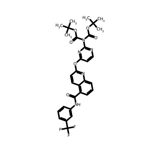 CC(C)(C)OC(=O)N(C(=O)OC(C)(C)C)c1nccc(Oc2ccc3c(C(=O)Nc4cccc(C(F)(F)F)c4)cccc3n2)n1